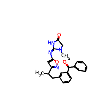 CC(Cc1cccc(C(=O)c2ccccc2)c1)c1cc(N=C2NC(=O)CN2C)on1